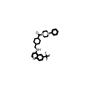 O=C(C1CCC(CNc2ccnc3ccc(C(F)(F)F)cc23)CC1)N1CCN(c2ccccc2)CC1